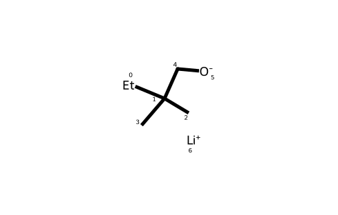 CCC(C)(C)C[O-].[Li+]